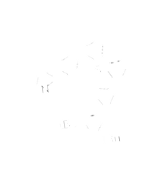 CC(C)(C)c1cc(-c2ccc(-c3cccc4c3sc3c(-c5ccc(-c6cccnc6)cc5)cccc34)cc2)cc(C(C)(C)C)c1